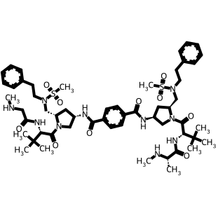 CNCC(=O)N[C@H](C(=O)N1C[C@@H](NC(=O)c2ccc(C(=O)N[C@H]3C[C@@H](CN(CCc4ccccc4)S(C)(=O)=O)N(C(=O)[C@@H](NC(=O)[C@H](C)NC)C(C)(C)C)C3)cc2)C[C@H]1CN(CCc1ccccc1)S(C)(=O)=O)C(C)(C)C